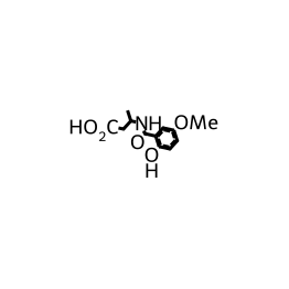 COc1ccc(O)c(C(=O)NC(C)CC(=O)O)c1